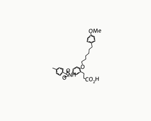 COc1ccc(CCCCCCOc2ccc(NS(=O)(=O)c3ccc(C)cc3)cc2CCC(=O)O)cc1